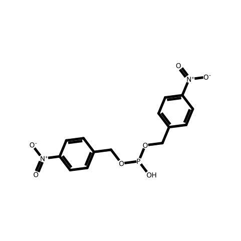 O=[N+]([O-])c1ccc(COP(O)OCc2ccc([N+](=O)[O-])cc2)cc1